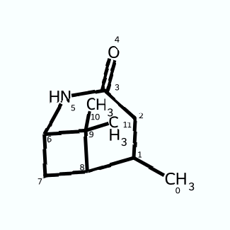 CC1CC(=O)NC2CC1C2(C)C